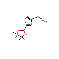 CCCCCCSc1csc(B2OC(C)(C)C(C)(C)O2)c1